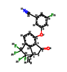 C[C@]12CC(=O)c3c(Oc4cc(F)cc(C#N)c4)ccc(c31)C(F)(F)C2(F)F